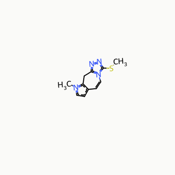 CSc1nnc2n1C=Cc1ccn(C)c1C2